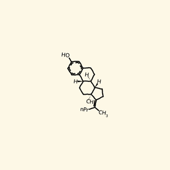 CCC/C(C)=C1/CC[C@H]2[C@@H]3CCc4cc(O)ccc4[C@H]3CC[C@]12C